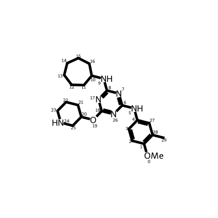 COc1ccc(Nc2nc(NC3CCCCCC3)nc(OC3CCCNC3)n2)cc1C